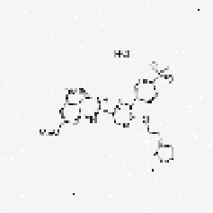 COc1cc(OC)c2c(=O)[nH]c(-c3ccc(OCCN4CCCC4)c(-c4ccc(S(C)(=O)=O)cc4)n3)nc2c1.Cl